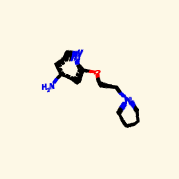 Nc1ccnc(OCCN2CCCC2)c1